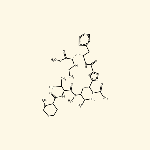 CCN[C@@H](C[C@H](Cc1ccccc1)NC(=O)c1csc([C@@H](CC(C(C)C)N(C)C(=O)[C@@H](NC(=O)[C@H]2CCCCN2C)C(C)C)OC(C)=O)n1)C(=O)OC